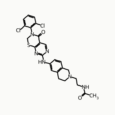 CC(=O)NCCN1CCc2cc(Nc3ncc4c(n3)SCN(c3c(Cl)cccc3Cl)C4=O)ccc2C1